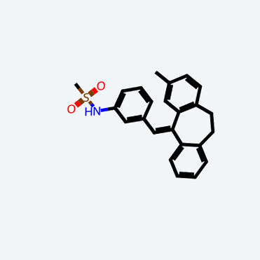 Cc1ccc2c(c1)C(=Cc1cccc(NS(C)(=O)=O)c1)c1ccccc1CC2